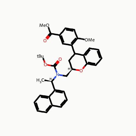 COC(=O)c1ccc(OC)c(C2C[C@H](CN(C(=O)OC(C)(C)C)[C@H](C)c3cccc4ccccc34)Oc3ccccc32)c1